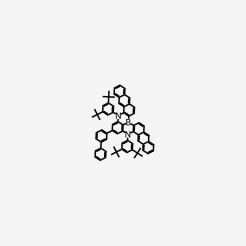 CC(C)(C)c1cc(N2c3cc(-c4cccc(-c5ccccc5)c4)cc4c3B(c3ccc5cc6ccccc6cc5c32)c2ccc3cc5ccccc5cc3c2N4c2cc(C(C)(C)C)cc(C(C)(C)C)c2)cc(C(C)(C)C)c1